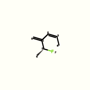 C=C(/C=C\C)[C@@H](C)F